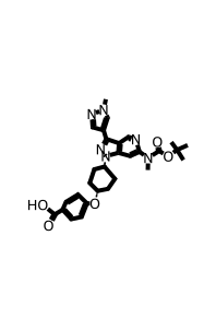 CN(C(=O)OC(C)(C)C)c1cc2c(cn1)c(-c1cnn(C)c1)nn2[C@H]1CC[C@@H](Oc2ccc(C(=O)O)cc2)CC1